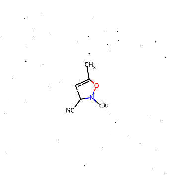 CC1=CC(C#N)N(C(C)(C)C)O1